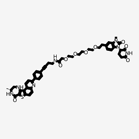 C[C@@H]1CNc2c(sc3ccc4nc(-c5ccc(C#CCCNC(=O)COCCOCCOCCOCCc6ccc7c(c6)n(C)c(=O)n7C6CCC(=O)NC6=O)cc5)ccc4c23)C(=O)N1